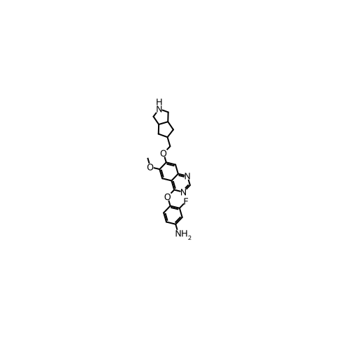 COc1cc2c(Oc3ccc(N)cc3F)ncnc2cc1OCC1CC2CNCC2C1